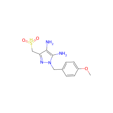 COc1ccc(Cn2nc(C[SH](=O)=O)c(N)c2N)cc1